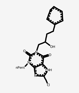 CCCCCn1c(=O)n(CC(O)CCc2ccccc2)c(=O)c2[nH]c(Cl)nc21